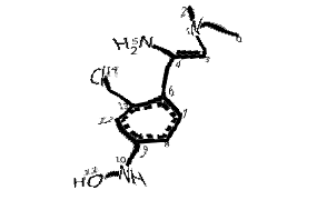 CN(C)/C=C(\N)c1ccc(NO)cc1Cl